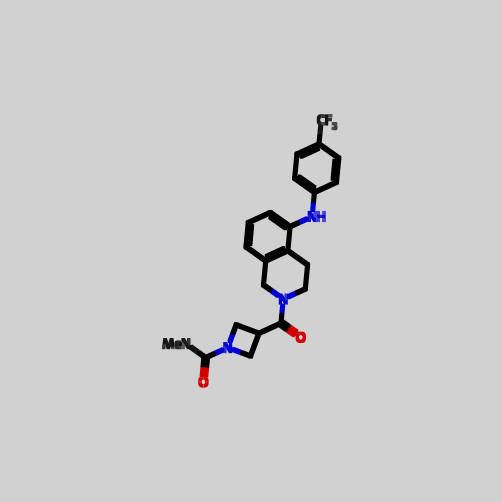 CNC(=O)N1CC(C(=O)N2CCc3c(cccc3Nc3ccc(C(F)(F)F)cc3)C2)C1